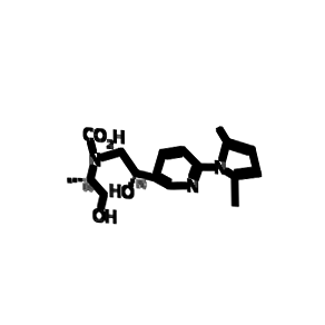 Cc1ccc(C)n1-c1ccc([C@H](O)CN(C(=O)O)[C@@H](C)CO)cn1